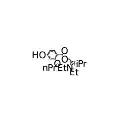 CCCOc1cc(O)ccc1C(=O)OC[C@H](C(C)C)N(CC)CC